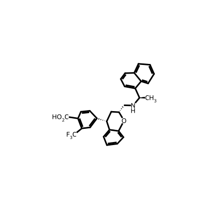 C[C@@H](NC[C@H]1C[C@@H](c2ccc(C(=O)O)c(C(F)(F)F)c2)c2ccccc2O1)c1cccc2ccccc12